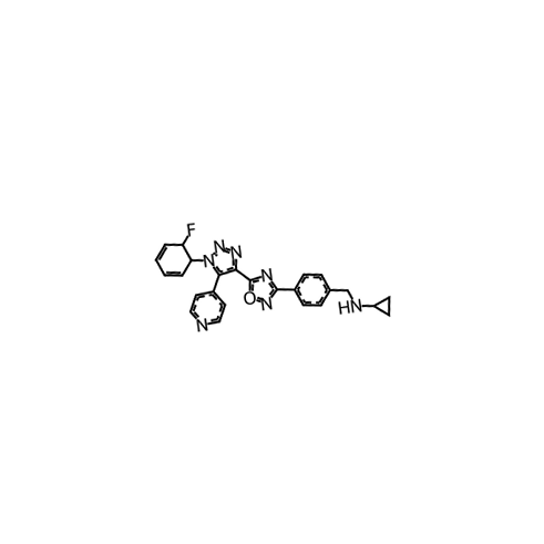 FC1C=CC=CC1n1nnc(-c2nc(-c3ccc(CNC4CC4)cc3)no2)c1-c1ccncc1